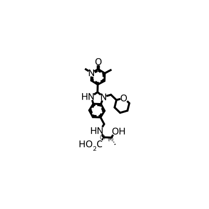 Cc1cc(C2Nc3ccc(CN[C@H](C(=O)O)[C@@H](C)O)cc3N2CC2CCCCO2)cn(C)c1=O